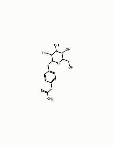 CC(=S)Cc1ccc(OC2OC(CO)C(O)C(O)C2O)cc1